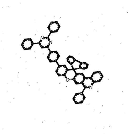 c1ccc(-c2cc(-c3ccc(-c4ccc5c(c4)C4(c6cc7c(cc6O5)c(-c5ccccc5)nc5ccccc57)c5ccccc5-c5ccccc54)cc3)nc(-c3ccccc3)n2)cc1